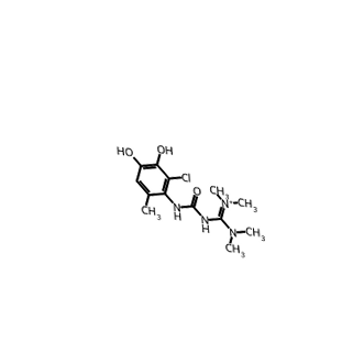 Cc1cc(O)c(O)c(Cl)c1NC(=O)NC(N(C)C)=[N+](C)C